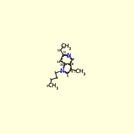 CCCCn1cc(C)c2cnc(CC)cc21